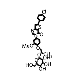 COc1cc(-n2cnc3cc(-c4ccc(Cl)cc4)sc3c2=O)ccc1OCC(C)O[C@H]1O[C@H](CO)[C@@H](O)[C@H](O)C1O